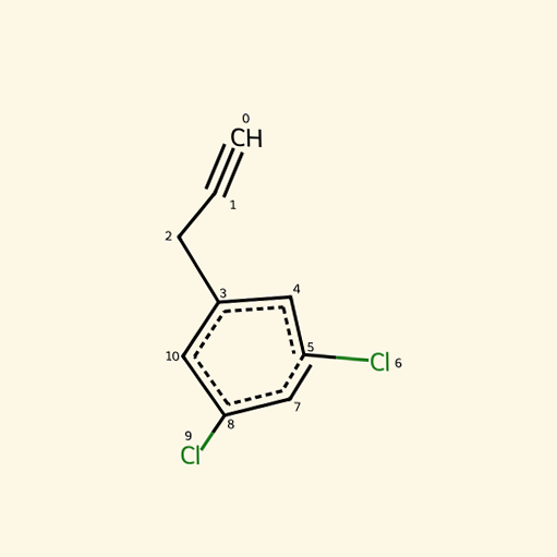 C#CCc1cc(Cl)cc(Cl)c1